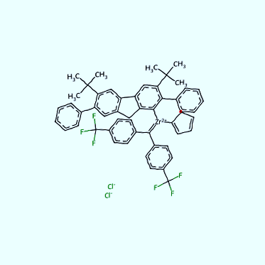 CC(C)(C)c1cc2c(cc1-c1ccccc1)Cc1c-2cc(C(C)(C)C)c(-c2ccccc2)[c]1[Zr+2]([C]1=CC=CC1)=[C](c1ccc(C(F)(F)F)cc1)c1ccc(C(F)(F)F)cc1.[Cl-].[Cl-]